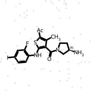 CC(=O)c1sc(Nc2ccc(I)cc2F)c(C(=O)N2CC[C@@H](N)C2)c1C